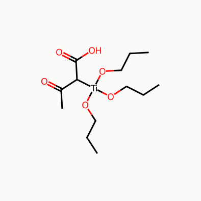 CCC[O][Ti]([O]CCC)([O]CCC)[CH](C(C)=O)C(=O)O